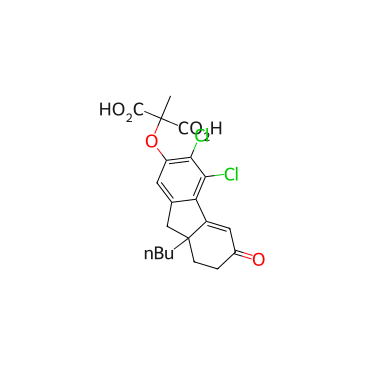 CCCCC12CCC(=O)C=C1c1c(cc(OC(C)(C(=O)O)C(=O)O)c(Cl)c1Cl)C2